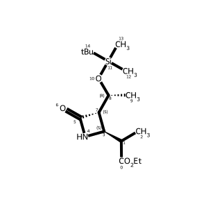 CCOC(=O)C(C)[C@H]1NC(=O)[C@@H]1[C@@H](C)O[Si](C)(C)C(C)(C)C